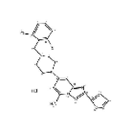 Cl.Nc1nc(N2CCN(Cc3c(Cl)cccc3Cl)CC2)cc2nc(-c3ccco3)nn12